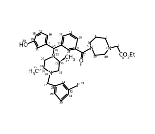 CCOC(=O)CN1CCCN(C(=O)c2cccc([C@H](c3cccc(O)c3)N3C[C@@H](C)N(Cc4cccc(F)c4)C[C@@H]3C)c2)CC1